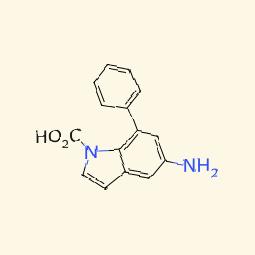 Nc1cc(-c2ccccc2)c2c(ccn2C(=O)O)c1